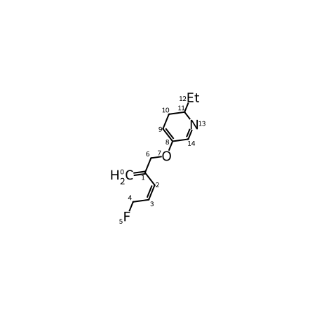 C=C(/C=C\CF)COC1=CCC(CC)N=C1